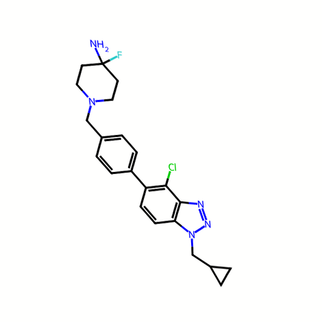 NC1(F)CCN(Cc2ccc(-c3ccc4c(nnn4CC4CC4)c3Cl)cc2)CC1